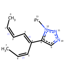 C\C=C/C=C(\C=C/C)c1cnnn1C(C)C